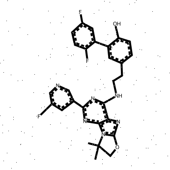 CC1(C)COc2nc3c(NCCc4ccc(O)c(-c5cc(F)ccc5F)c4)nc(-c4cncc(F)c4)nc3n21